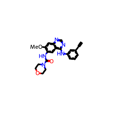 C#Cc1cccc(Nc2ncnc3cc(OC)c(NC(=O)N4CCOCC4)cc23)c1